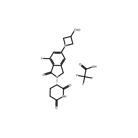 O=C(O)C(F)(F)F.O=CC1CN(c2cc(F)c3c(c2)CN([C@H]2CCC(=O)NC2=O)C3=O)C1